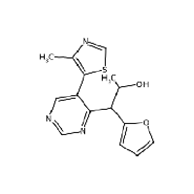 Cc1ncsc1-c1cncnc1C(c1ccco1)C(C)O